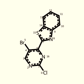 Clc1ncc(Br)c(-c2nc3ccccc3s2)n1